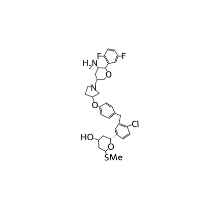 CSC1CC(O)C[C@H](c2ccc(Cl)c(Cc3ccc(OC4CCN(C5COC(c6cc(F)ccc6F)C(N)C5)C4)cc3)c2)O1